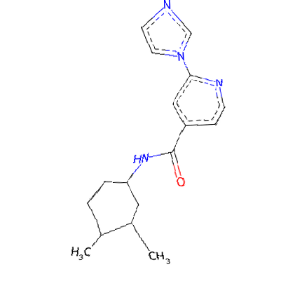 CC1CCC(NC(=O)c2ccnc(-n3ccnc3)c2)CC1C